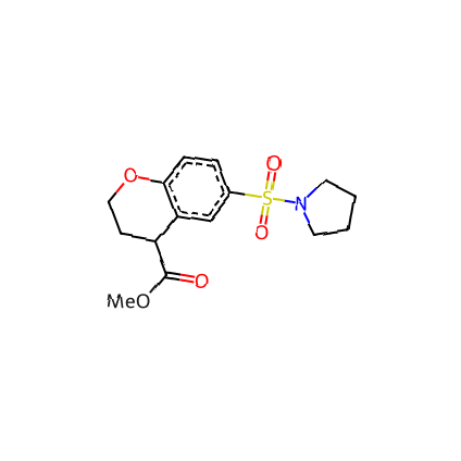 COC(=O)C1CCOc2ccc(S(=O)(=O)N3CCCC3)cc21